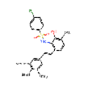 COc1ccc(C=Cc2cc(OC)c(OC)c(OC)c2)c(NS(=O)(=O)c2ccc(Cl)cc2)c1O